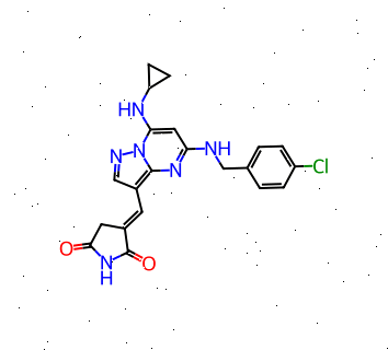 O=C1C/C(=C\c2cnn3c(NC4CC4)cc(NCc4ccc(Cl)cc4)nc23)C(=O)N1